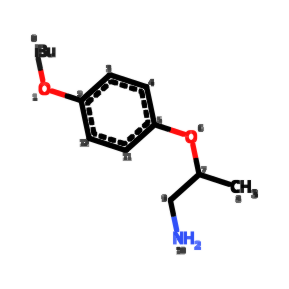 CCC(C)Oc1ccc(OC(C)CN)cc1